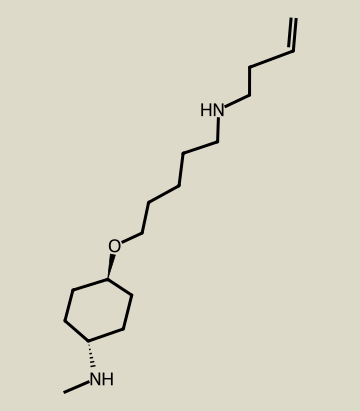 C=CCCNCCCCCO[C@H]1CC[C@H](NC)CC1